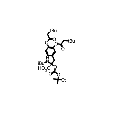 CCC(C)N[C@@](Cc1ccc(OC(=O)CC(C)(C)C)c(OC(=O)CC(C)(C)C)c1)(OC(=O)OC(C)(C)CC)C(=O)O